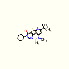 CC(C)c1cc(N(C)C)c2c(n1)sc1c(=O)n(C3CCCCC3)cnc12